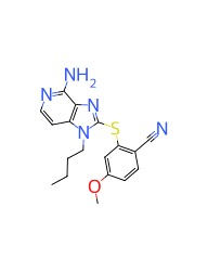 CCCCn1c(Sc2cc(OC)ccc2C#N)nc2c(N)nccc21